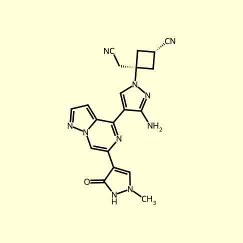 Cn1cc(-c2cn3nccc3c(-c3cn([C@]4(CC#N)C[C@@H](C#N)C4)nc3N)n2)c(=O)[nH]1